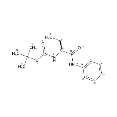 CC[C@H](NC(=O)OC(C)(C)C)C(=O)Nc1ccccc1